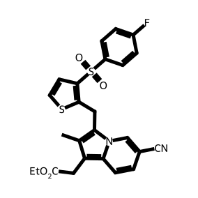 CCOC(=O)Cc1c(C)c(Cc2sccc2S(=O)(=O)c2ccc(F)cc2)n2cc(C#N)ccc12